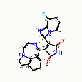 O=C1NC(=O)C(c2cnc3c(F)cccn23)=C1C1=NC=CN2CCc3cccc1c32